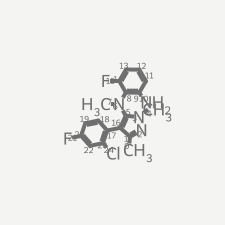 Cc1nn(C)c(N(C)c2c(N)cccc2F)c1-c1ccc(F)cc1Cl